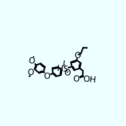 CCCOc1cc(CC(=O)O)cc([SH](=O)(I)c2ccc(Oc3ccc(OC)c(OC)c3)cc2)c1